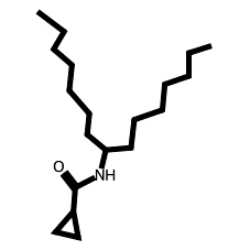 CCCCCCCC(CCCCCCC)NC(=O)C1CC1